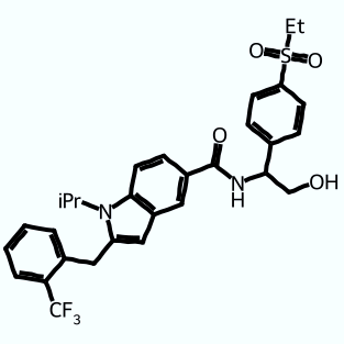 CCS(=O)(=O)c1ccc(C(CO)NC(=O)c2ccc3c(c2)cc(Cc2ccccc2C(F)(F)F)n3C(C)C)cc1